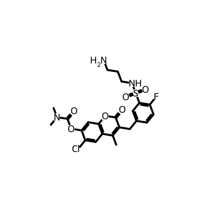 Cc1c(Cc2ccc(F)c(S(=O)(=O)NCCCN)c2)c(=O)oc2cc(OC(=O)N(C)C)c(Cl)cc12